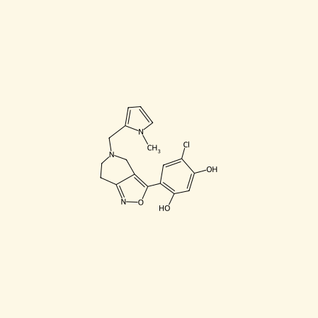 Cn1cccc1CN1CCc2noc(-c3cc(Cl)c(O)cc3O)c2C1